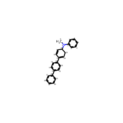 CN(c1ccccc1)C1C=CC(c2ccc(-c3ccccc3)cc2)=CC1